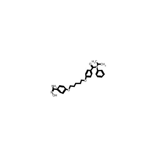 CC(C)N(C(=O)c1ccc(OCCCCCOc2ccc(/C(N)=N\O)cc2)cc1)c1ccccc1